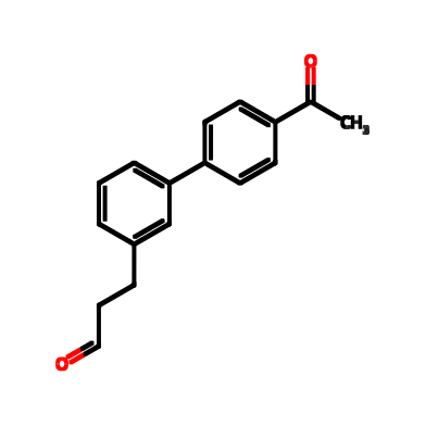 CC(=O)c1ccc(-c2cccc(CCC=O)c2)cc1